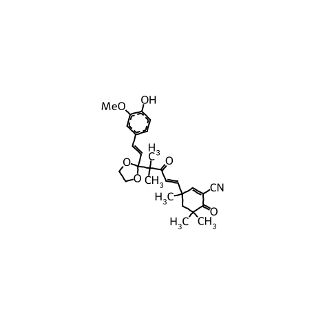 COc1cc(C=CC2(C(C)(C)C(=O)C=CC3(C)C=C(C#N)C(=O)C(C)(C)C3)OCCO2)ccc1O